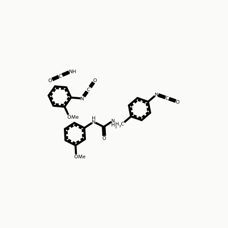 COc1cccc(NC(N)=O)c1.COc1ccccc1N=C=O.Cc1ccc(N=C=O)cc1.N=C=O